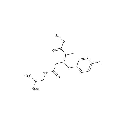 CNC(CNC(=O)CC(Cc1ccc(Cl)cc1)N(C)C(=O)OC(C)(C)C)C(=O)O